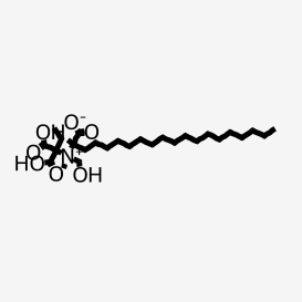 CCCCCCCCCCCCCCCCCCC(C)(C(=O)[O-])[N+](C)(CO)C(CC)(C(=O)O)C(=O)O